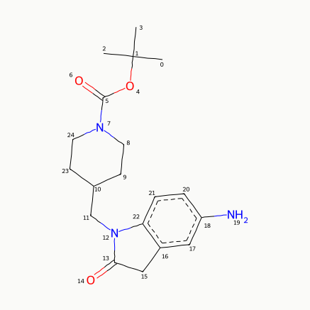 CC(C)(C)OC(=O)N1CCC(CN2C(=O)Cc3cc(N)ccc32)CC1